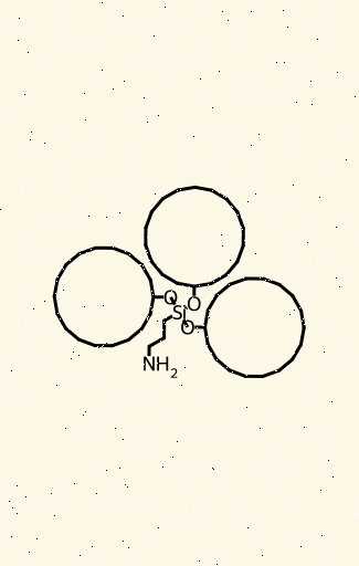 NCCC[Si](OC1CCCCCCCCCCCCCCCCC1)(OC1CCCCCCCCCCCCCCCCC1)OC1CCCCCCCCCCCCCCCCC1